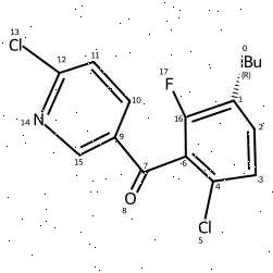 CC[C@@H](C)c1ccc(Cl)c(C(=O)c2ccc(Cl)nc2)c1F